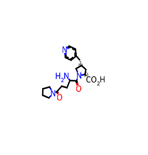 NC(CCC(=O)N1CCCC1)C(=O)N1C[C@H](Cc2ccncc2)C[C@H]1C(=O)O